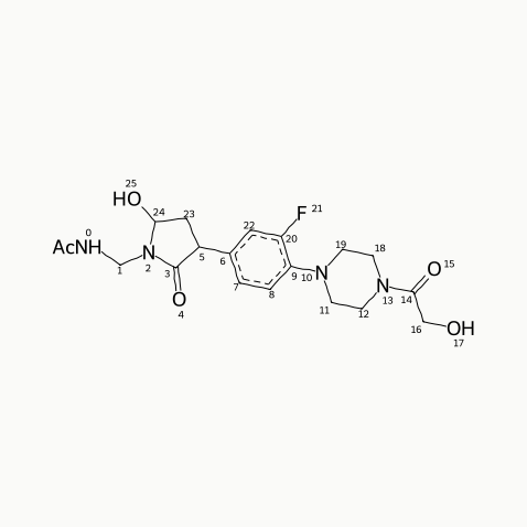 CC(=O)NCN1C(=O)C(c2ccc(N3CCN(C(=O)CO)CC3)c(F)c2)CC1O